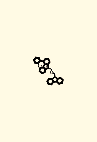 O=C(O)c1ccccc1-c1cccc2c1-c1ccccc1[C@@H]2COCC1c2ccccc2-c2ccccc21